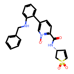 O=C(N[C@@H]1C=CS(=O)(=O)C1)c1ccc(-c2ccccc2NCc2ccccc2)c[n+]1[O-]